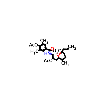 C=CC[C@]1(C(=O)O)CCC(C)C(CC(CNC(=O)c2cc(C)c(OC(C)=O)c(C)c2)OC(C)=O)O1